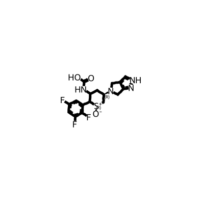 O=C(O)NC1C[C@@H](N2Cc3c[nH]nc3C2)C[S@+]([O-])C1c1cc(F)cc(F)c1F